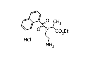 CCOC(=O)C(C)N(CCN)S(=O)(=O)c1cccc2ccccc12.Cl